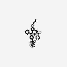 CCCCOc1ccc2c(c1)C1CC1(C(=O)N1CCOCC1)Cn1c-2c(C2CCCCC2)c2ccc(C(=O)NS(=O)(=O)N(C)C)cc21